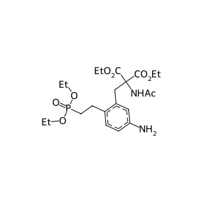 CCOC(=O)C(Cc1cc(N)ccc1CCP(=O)(OCC)OCC)(NC(C)=O)C(=O)OCC